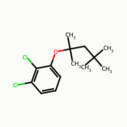 CC(C)(C)CC(C)(C)Oc1cccc(Cl)c1Cl